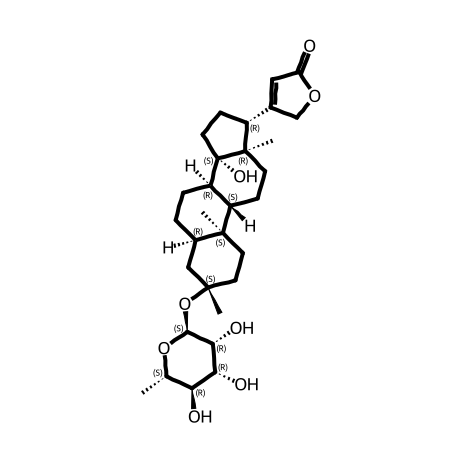 C[C@@H]1O[C@@H](O[C@@]2(C)CC[C@@]3(C)[C@H](CC[C@@H]4[C@@H]3CC[C@]3(C)[C@@H](C5=CC(=O)OC5)CC[C@]43O)C2)[C@H](O)[C@H](O)[C@H]1O